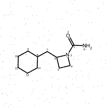 NC(=O)N1CCC1CC1CCCCC1